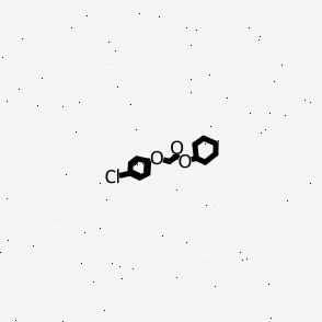 O=C(COc1ccc(Cl)cc1)OC1CCCCC1